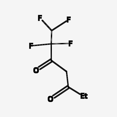 CCC(=O)CC(=O)C(F)(F)C(F)F